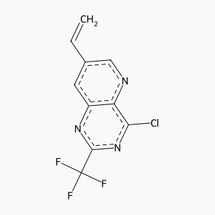 C=Cc1cnc2c(Cl)nc(C(F)(F)F)nc2c1